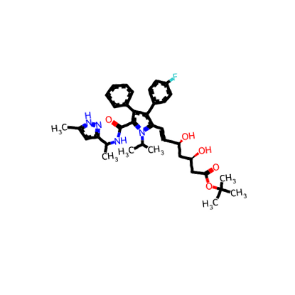 Cc1cc(C(C)NC(=O)c2c(-c3ccccc3)c(-c3ccc(F)cc3)c(C=C[C@@H](O)C[C@@H](O)CC(=O)OC(C)(C)C)n2C(C)C)n[nH]1